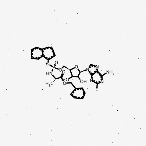 C[C@H](NP(=O)(OC[C@H]1O[C@@H](n2cnc3c(N)nc(F)nc32)C(O)C1O)Oc1cccc2ccccc12)C(=O)OCc1ccccc1